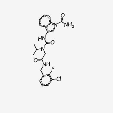 CC(C)N(CC(=O)NCc1cccc(Cl)c1F)C(=O)Nc1cn(C(N)=O)c2ccccc12